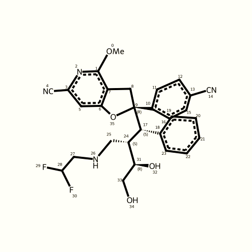 COc1nc(C#N)cc2c1C[C@](c1ccc(C#N)cc1)([C@H](c1ccccc1)[C@@H](CNCC(F)F)[C@@H](O)CO)O2